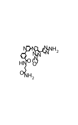 NC(=O)CCCNC(=O)c1cccc(-c2cc(N3CCc4c(-c5cnc(N)nc5)nc(N5CCOCC5)nc43)ccn2)c1